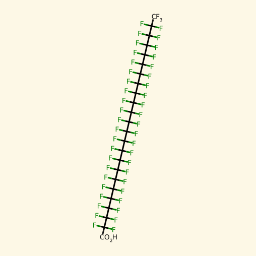 O=C(O)C(F)(F)C(F)(F)C(F)(F)C(F)(F)C(F)(F)C(F)(F)C(F)(F)C(F)(F)C(F)(F)C(F)(F)C(F)(F)C(F)(F)C(F)(F)C(F)(F)C(F)(F)C(F)(F)C(F)(F)C(F)(F)C(F)(F)C(F)(F)C(F)(F)C(F)(F)C(F)(F)F